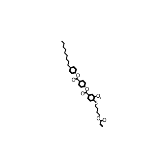 C=CC(=O)OCCCCSc1ccc(C(=O)Oc2ccc(C(=O)Oc3ccc(CCCCCCCCC)cc3)cc2)cc1OC